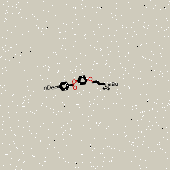 CCCCCCCCCCc1ccc(C(=O)Oc2ccc(OCCCC[Si](C)(C)CCCC)cc2)cc1